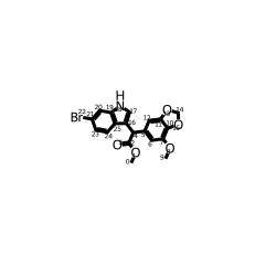 COC(=O)C(c1cc(OC)c2c(c1)OCO2)c1c[nH]c2cc(Br)ccc12